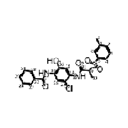 Cc1cccc(S(=O)(=O)C(C)C(=O)Nc2cc(O)c(NC(=O)c3ccccc3)cc2Cl)c1